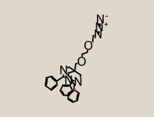 [N-]=[N+]=NCCOCCOCC12CN3C(c4ccccc4)N(C1)C(c1ccccc1)N(C2)C3c1ccccc1